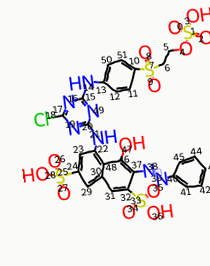 O=S(=O)(O)OCCS(=O)(=O)c1ccc(Nc2nc(Cl)nc(Nc3cc(S(=O)(=O)O)cc4cc(S(=O)(=O)O)c(/N=N/c5ccccc5)c(O)c34)n2)cc1